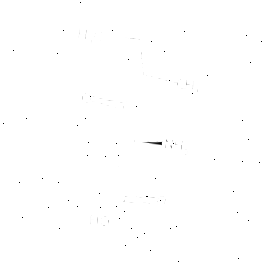 CCC(C)C(=O)[C@@H](N)CC(=O)O